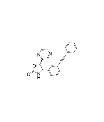 O=C1N[C@@H](c2cccc(C#Cc3ccccc3)c2)[C@H](c2cnccn2)O1